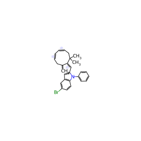 C=C1C/C=C\C=C/CC(C)(C)/C1=C/c1cc2cc(Br)ccc2n1-c1ccccc1